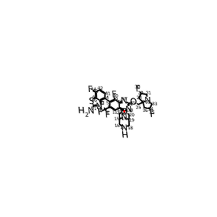 Nc1nc2c(-c3c(C(F)(F)F)cc4c(N5C6CNCC5COC6)nc(OCC56CC(F)CN5CC(F)C6)nc4c3F)ccc(F)c2s1